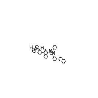 CC1(C)c2ccccc2-c2ccc(-c3ccc(-c4cc(-c5cccc(-c6ccc7ccccc7c6)c5)nc(-c5ccccc5)n4)c4ccccc34)cc21